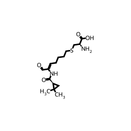 CC1(C)C[C@@H]1C(=O)N/C(C=O)=C\CCCCSC[C@H](N)C(=O)O